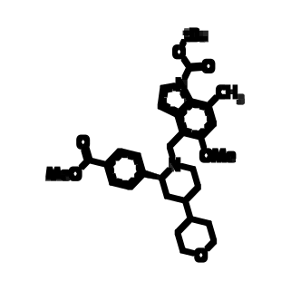 COC(=O)c1ccc([C@@H]2CC(C3CCOCC3)CCN2Cc2c(OC)cc(C)c3c2ccn3C(=O)OC(C)(C)C)cc1